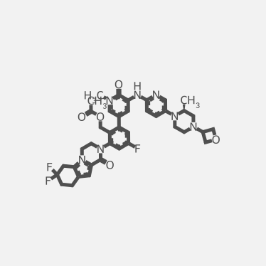 CC(=O)OCc1c(-c2cc(Nc3ccc(N4CCN(C5COC5)C[C@@H]4C)cn3)c(=O)n(C)c2)cc(F)cc1N1CCn2c(cc3c2CC(F)(F)CC3)C1=O